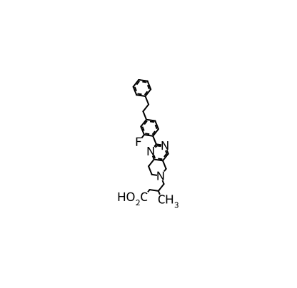 CC(CC(=O)O)CN1CCc2nc(-c3ccc(CCc4ccccc4)cc3F)ncc2C1